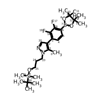 Cc1c(-c2ccc(B3OC(C)(C)C(C)(C)O3)c(F)c2F)cnn1CCCO[Si](C)(C)C(C)(C)C